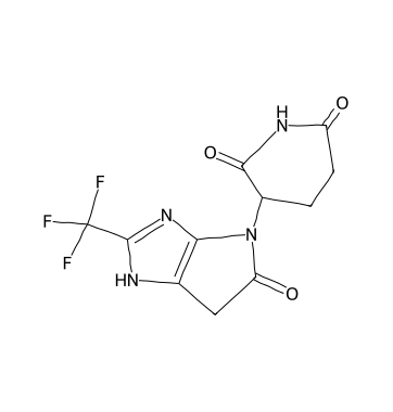 O=C1CCC(N2C(=O)Cc3[nH]c(C(F)(F)F)nc32)C(=O)N1